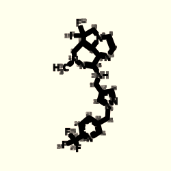 CN1CC2=C3C(=NC=CN3CC2(F)F)C(NCc2cnn(Cc3ccc(C(F)(F)F)nc3)c2)=N1